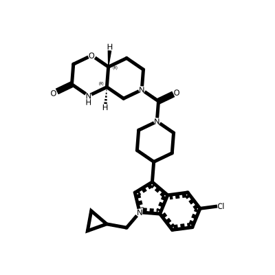 O=C1CO[C@@H]2CCN(C(=O)N3CCC(c4cn(CC5CC5)c5ccc(Cl)cc45)CC3)C[C@H]2N1